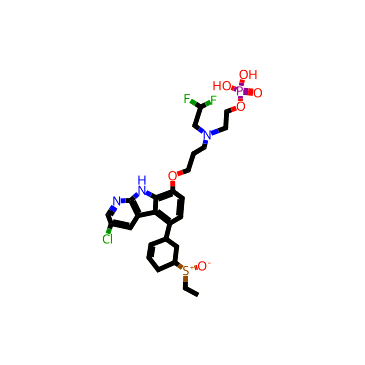 CC[S+]([O-])C1CC=CC(c2ccc(OCCCN(CCOP(=O)(O)O)CC(F)F)c3[nH]c4ncc(Cl)cc4c23)C1